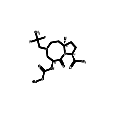 CC(F)(F)CN1CC[C@H]2CC[C@@H](C(N)=O)N2C(=O)[C@@H](NC(=O)OC(C)(C)C)C1